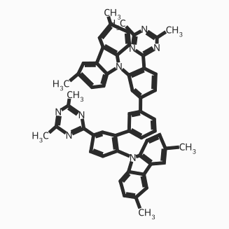 Cc1ccc2c(c1)c1cc(C)ccc1n2-c1ccc(-c2nc(C)nc(C)n2)cc1-c1cccc(-c2ccc(-c3nc(C)nc(C)n3)c(-n3c4ccc(C)cc4c4cc(C)ccc43)c2)c1